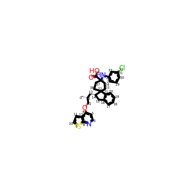 C[C@@H](COc1ccnc2sccc12)C[C@H]1Cc2ccccc2C12CCC(Nc1cccc(Cl)c1)(C(=O)O)CC2